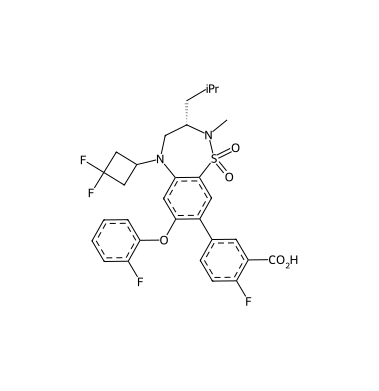 CC(C)C[C@H]1CN(C2CC(F)(F)C2)c2cc(Oc3ccccc3F)c(-c3ccc(F)c(C(=O)O)c3)cc2S(=O)(=O)N1C